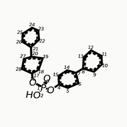 O=P(O)(Oc1ccc(-c2ccccc2)cc1)Oc1ccc(-c2ccccc2)cc1